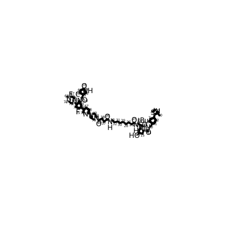 Cc1ncsc1-c1ccc(CNC(=O)[C@@H]2C[C@@H](O)CN2C(=O)C(NC(=O)CCCCCCCCNC(=O)CCC(=O)N2CCN(c3ccc(-c4cc(NC(=O)c5c[nH]c(=O)cc5C(F)(F)F)c(N5C[C@@H](C)N(C)[C@@H](C)C5)cc4F)cn3)CC2)C(C)(C)C)cc1